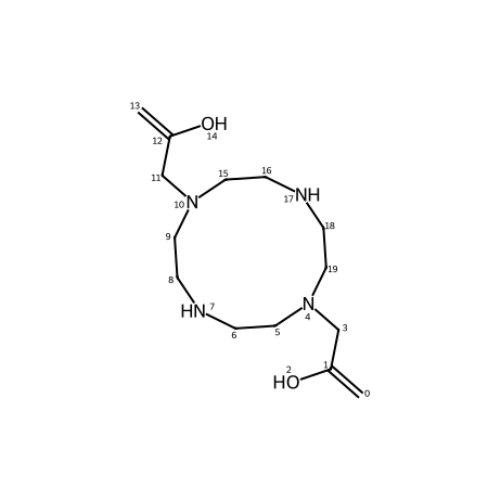 C=C(O)CN1CCNCCN(CC(=C)O)CCNCC1